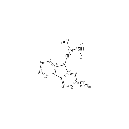 C[SiH](C)[N]([Ti+2][CH]1c2ccccc2-c2ccccc21)C(C)(C)C.[Cl-].[Cl-]